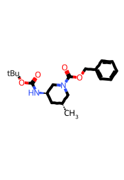 C[C@@H]1C[C@@H](NC(=O)OC(C)(C)C)CN(C(=O)OCc2ccccc2)C1